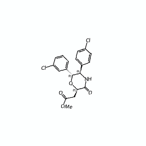 COC(=O)C[C@H]1O[C@H](c2cccc(Cl)c2)[C@@H](c2ccc(Cl)cc2)NC1=O